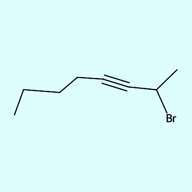 CCCCC#CC(C)Br